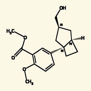 COC(=O)c1cc([C@@]23CC[C@@H]2C[C@H](CO)C3)ccc1OC